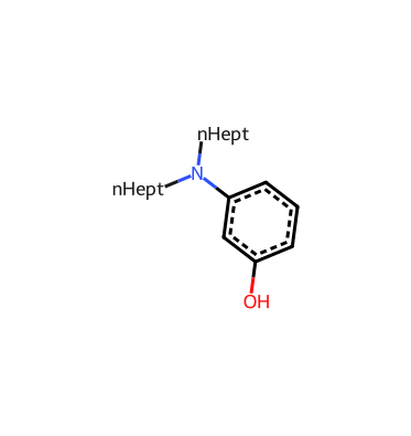 CCCCCCCN(CCCCCCC)c1cccc(O)c1